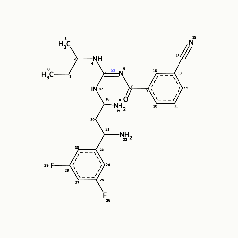 CCC(C)N/C(=N/C(=O)c1cccc(C#N)c1)NC(N)CC(N)c1cc(F)cc(F)c1